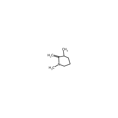 C=C1C(C)CCCN1C